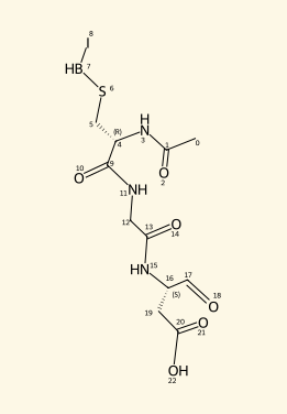 CC(=O)N[C@@H](CSBI)C(=O)NCC(=O)N[C@H](C=O)CC(=O)O